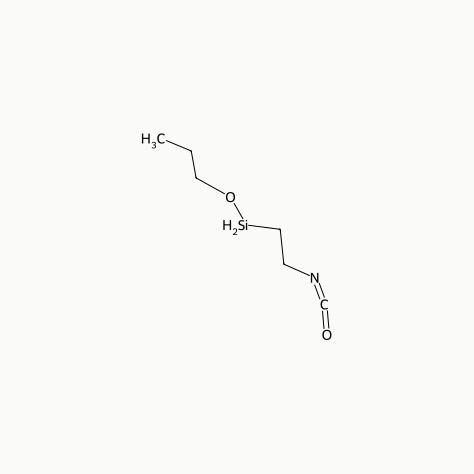 CCCO[SiH2]CCN=C=O